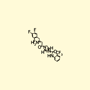 N[C@@H](CC(=O)N1C[C@@H]2C[C@H]1CN2C(=O)Nc1ccccc1C(F)(F)F)Cc1cc(F)c(F)cc1F